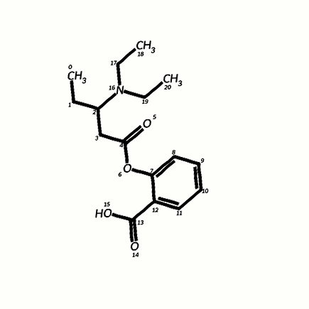 CCC(CC(=O)Oc1ccccc1C(=O)O)N(CC)CC